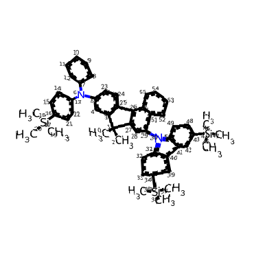 CC1(C)c2cc(N(c3ccccc3)c3ccc([Si](C)(C)C)cc3)ccc2-c2c1cc(-n1c3ccc([Si](C)(C)C)cc3c3cc([Si](C)(C)C)ccc31)c1ccccc21